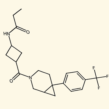 CCC(=O)NC1CC(C(=O)N2CCC3(c4ccc(C(F)(F)F)cc4)CC3C2)C1